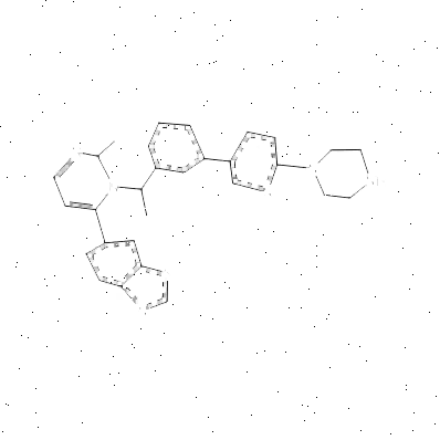 CC1N=CC=C(c2ccc3ncsc3c2)N1C(C)c1cccc(-c2ccc(N3CCNCC3)nc2)c1